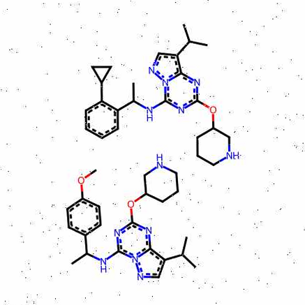 CC(C)c1cnn2c(NC(C)c3ccccc3C3CC3)nc(OC3CCCNC3)nc12.COc1ccc(C(C)Nc2nc(OC3CCCNC3)nc3c(C(C)C)cnn23)cc1